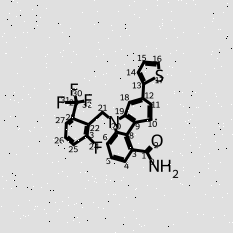 NC(=O)c1cccc2c1c1[c]cc(-c3cccs3)cc1n2Cc1c(F)cccc1C(F)(F)F